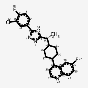 C[C@@H](c1nnc(-c2ccc(F)c(Cl)c2)o1)C1CCC(c2ccnc3ccc(F)cc23)CC1